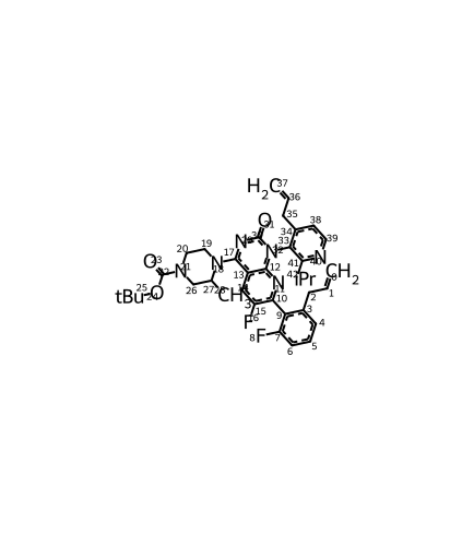 C=CCc1cccc(F)c1-c1nc2c(cc1F)c(N1CCN(C(=O)OC(C)(C)C)CC1C)nc(=O)n2-c1c(CC=C)ccnc1C(C)C